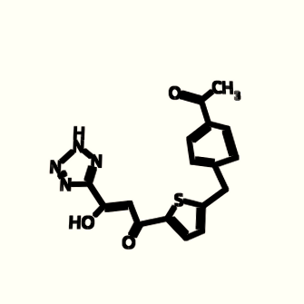 CC(=O)c1ccc(Cc2ccc(C(=O)C=C(O)c3nn[nH]n3)s2)cc1